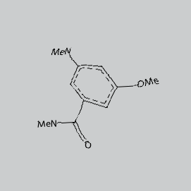 CNC(=O)c1cc(NC)cc(OC)c1